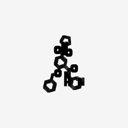 O=C(Nc1cccnc1)c1cc(S(=O)(=O)N2CCCC2)ccc1OCc1ccccc1